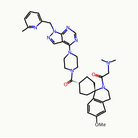 COc1ccc2c(c1)CCN(C(=O)CN(C)C)[C@]21CC[C@@H](C(=O)N2CCN(c3ncnc4c3cnn4Cc3cccc(C)n3)CC2)CC1